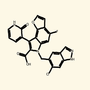 O=C(O)c1c(-c2ccc[nH]c2=O)c2c3occc3c(F)cc2n1Cc1cc2cn[nH]c2cc1Cl